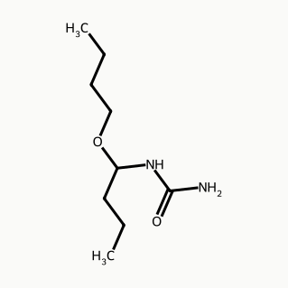 CCCCOC(CCC)NC(N)=O